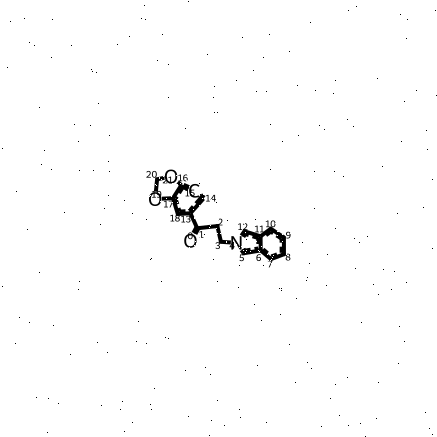 O=C(CCn1cc2ccccc2c1)c1ccc2c(c1)OCO2